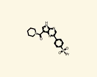 CC(C)S(=O)(=O)c1ccc(-c2cnc3[nH]cc(C(=O)N4CCCCC4)c3n2)cc1